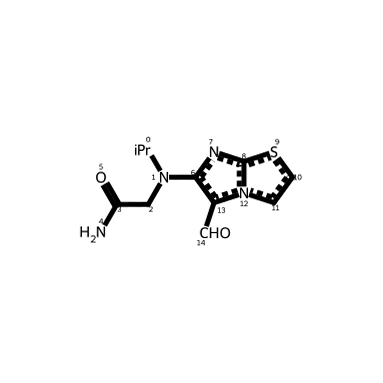 CC(C)N(CC(N)=O)c1nc2sccn2c1C=O